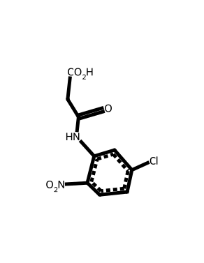 O=C(O)CC(=O)Nc1cc(Cl)ccc1[N+](=O)[O-]